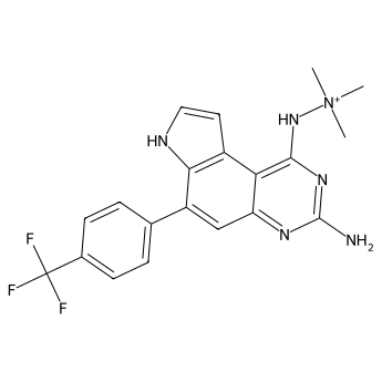 C[N+](C)(C)Nc1nc(N)nc2cc(-c3ccc(C(F)(F)F)cc3)c3[nH]ccc3c12